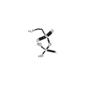 O=P(O)(O)OS(=O)(=O)C[SiH3]